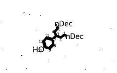 CCCCCCCCCCCCC(CCCCCCCCCCCC)c1ccc(O)cc1